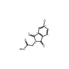 COC(=O)CN1C(=O)c2ccc(Cl)cc2C1=O